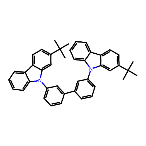 CC(C)(C)c1ccc2c3ccccc3n(-c3cccc(-c4cccc(-n5c6ccccc6c6ccc(C(C)(C)C)cc65)c4)c3)c2c1